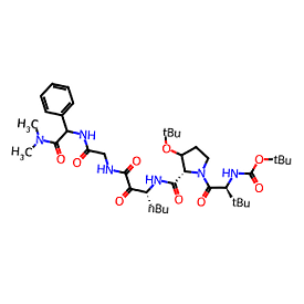 CCCC[C@@H](NC(=O)[C@@H]1C(OC(C)(C)C)CCN1C(=O)[C@@H](NC(=O)OC(C)(C)C)C(C)(C)C)C(=O)C(=O)NCC(=O)NC(C(=O)N(C)C)c1ccccc1